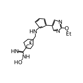 CCOc1ncc(-c2cccc(NCC34CCC(C(=N)NO)(CC3)CC4)c2)cn1